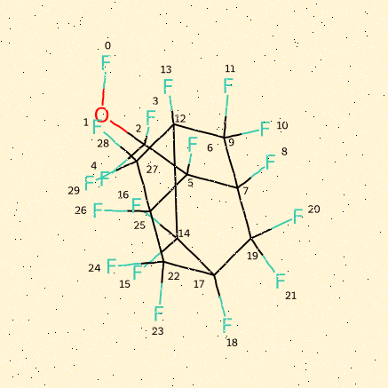 FOC(F)(F)C1(F)C2(F)C(F)(F)C3(F)C(F)(F)C(F)(C2(F)F)C(F)(F)C1(F)C3(F)F